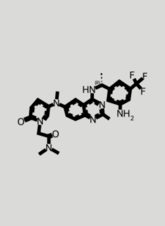 Cc1nc(N[C@H](C)c2cc(N)cc(C(F)(F)F)c2)c2cc(N(C)c3ccc(=O)n(CC(=O)N(C)C)c3)ccc2n1